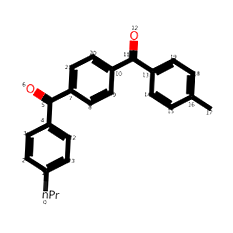 CCCc1ccc(C(=O)c2ccc(C(=O)c3ccc(C)cc3)cc2)cc1